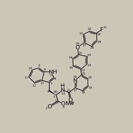 COC(=O)[C@@H](Cc1c[nH]c2ccccc12)NC(=O)c1cccc(-c2ccc(Oc3ccc(F)cc3)cc2)n1